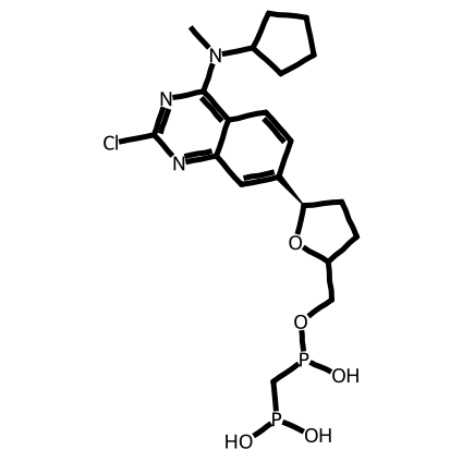 CN(c1nc(Cl)nc2cc([C@H]3CCC(COP(O)CP(O)O)O3)ccc12)C1CCCC1